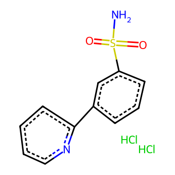 Cl.Cl.NS(=O)(=O)c1cccc(-c2ccccn2)c1